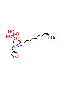 CCCCCCCC/C=C\CCCCCCCC(=O)N[C@H](COP(=O)(O)O)Cc1ccoc1